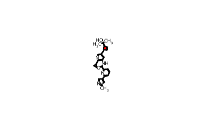 Cn1cc(-c2cccc(C(=O)Nc3cc(N4CC5(C(C)(C)O)CC4C5)cnc3C3CC3)n2)cn1